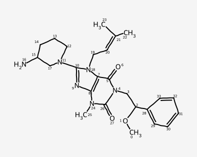 COC(Cn1c(=O)c2c(nc(N3CCCC(N)C3)n2CC=C(C)C)n(C)c1=O)c1ccccc1